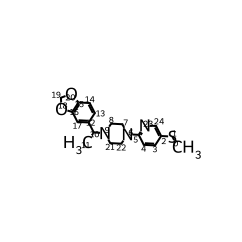 CSc1ccc(N2CCN([C@@H](C)c3ccc4c(c3)OCO4)CC2)nc1